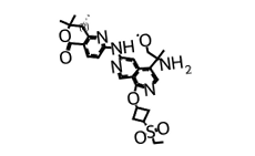 CCS(=O)(=O)[C@H]1C[C@@H](Oc2ncc(C(C)(N)COC)c3cc(Nc4ccc5c(n4)[C@@H](C)C(C)(C)OC5=O)ncc23)C1